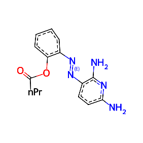 CCCC(=O)Oc1ccccc1/N=N/c1ccc(N)nc1N